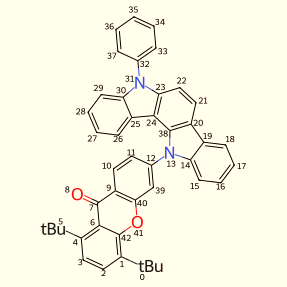 CC(C)(C)c1ccc(C(C)(C)C)c2c(=O)c3ccc(-n4c5ccccc5c5ccc6c(c7ccccc7n6-c6ccccc6)c54)cc3oc12